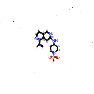 C=C(C)c1nccc2cnc(NC3CCN(S(C)(=O)=O)CC3)cc12